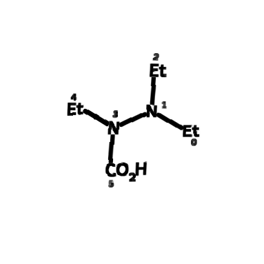 CCN(CC)N(CC)C(=O)O